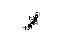 O=C(Cc1ccc2c(c1)[nH]c1cc(Cl)ccc12)NCc1ccc(O)nc1